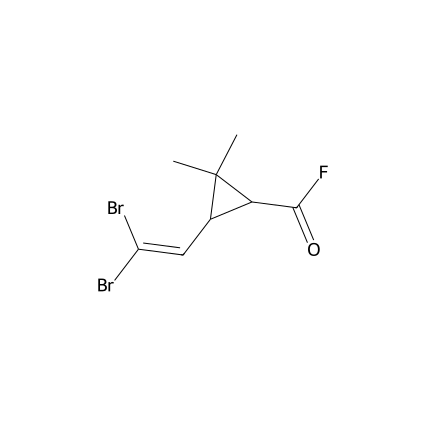 CC1(C)C(C=C(Br)Br)C1C(=O)F